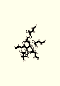 C=CCC1OC(COC(=O)CCC)[C@H](OC(=O)CCC)C(OC(=O)CCC)C1NC(=O)C(C)(C)C